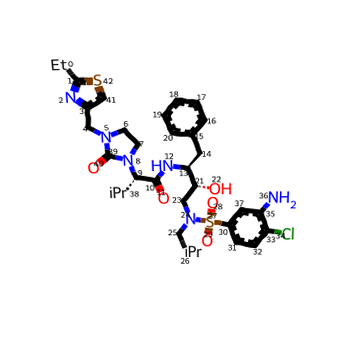 CCc1nc(CN2CCN([C@H](C(=O)N[C@@H](Cc3ccccc3)[C@H](O)CN(CC(C)C)S(=O)(=O)c3ccc(Cl)c(N)c3)C(C)C)C2=O)cs1